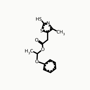 Cc1nc(S)sc1CC(=O)OC(C)Oc1ccccc1